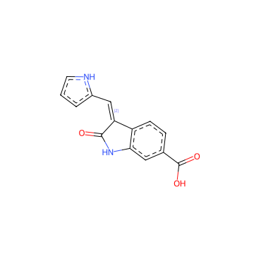 O=C1Nc2cc(C(=O)O)ccc2/C1=C/c1ccc[nH]1